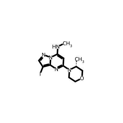 CNc1cc(N2CCOC[C@H]2C)nc2c(I)cnn12